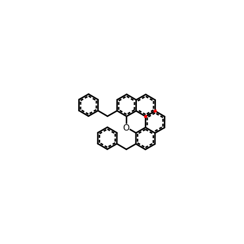 c1ccc(Cc2ccc3ccccc3c2Oc2c(Cc3ccccc3)ccc3ccccc23)cc1